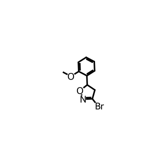 COc1ccccc1C1CC(Br)=NO1